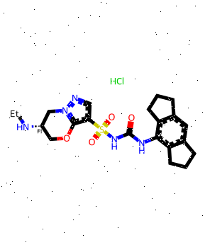 CCN[C@H]1COc2c(S(=O)(=O)NC(=O)Nc3c4c(cc5c3CCC5)CCC4)cnn2C1.Cl